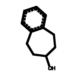 OC1CCc2ccccc2CC1